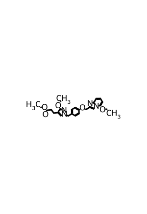 CCOC(=O)CCc1cn(Cc2ccc(OCc3cn4c(OCC)cccc4n3)cc2)nc1OCC